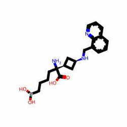 NC(CCCCB(O)O)(C(=O)O)[C@H]1C[C@@H](NCc2cccc3cccnc23)C1